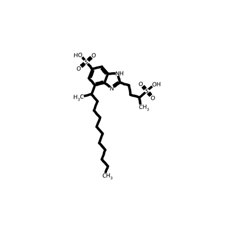 CCCCCCCCCCC(C)c1cc(S(=O)(=O)O)cc2[nH]c(CCC(C)S(=O)(=O)O)nc12